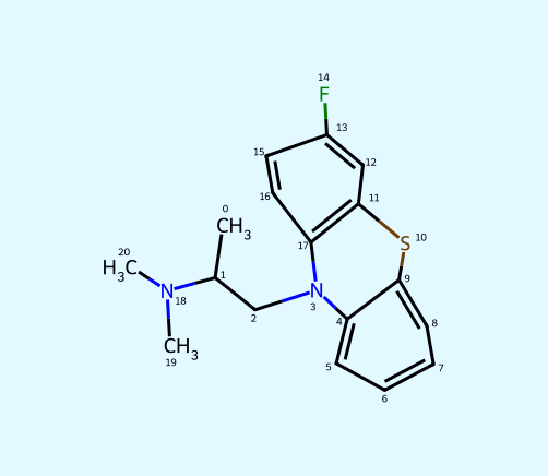 CC(CN1c2ccccc2Sc2cc(F)ccc21)N(C)C